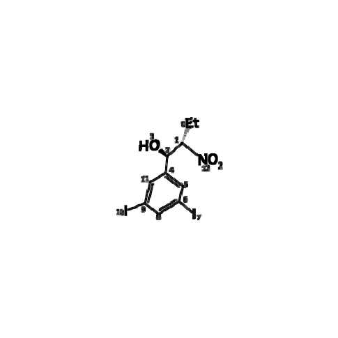 CC[C@@H]([C@H](O)c1cc(I)cc(I)c1)[N+](=O)[O-]